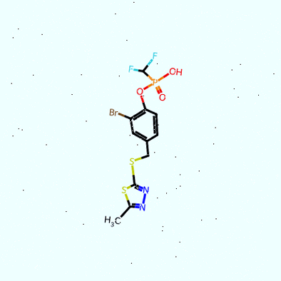 Cc1nnc(SCc2ccc(OP(=O)(O)C(F)F)c(Br)c2)s1